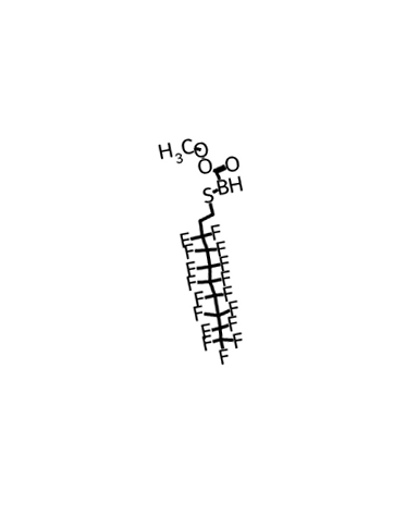 COOC(=O)BSCCC(F)(F)C(F)(F)C(F)(F)C(F)(F)C(F)(F)C(F)(F)C(F)(F)C(F)(F)F